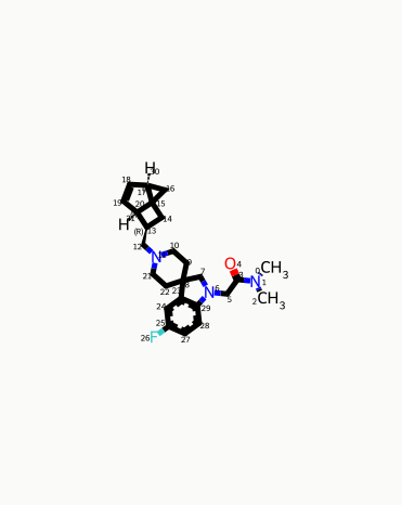 CN(C)C(=O)CN1CC2(CCN(C[C@@H]3CC45C[C@@H]4C=C[C@H]35)CC2)c2cc(F)ccc21